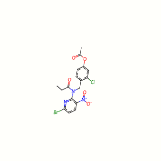 CCC(=O)N(Cc1ccc(OC(C)=O)cc1Cl)c1nc(Br)ccc1[N+](=O)[O-]